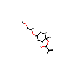 C=C(C)C(=O)OC1(C)CCC(OCCOC)CC1